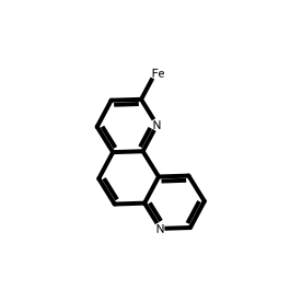 [Fe][c]1ccc2ccc3ncccc3c2n1